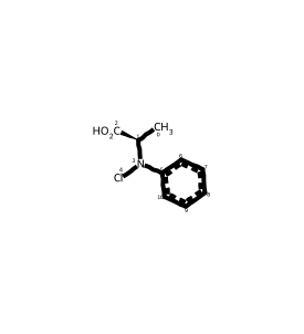 C[C@H](C(=O)O)N(Cl)c1ccccc1